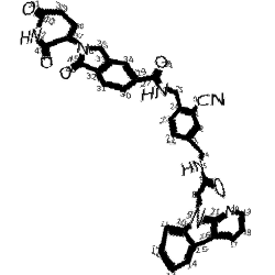 N#Cc1cc(CNC(=O)Cn2c3ccccc3c3cccnc32)ccc1CNC(=O)c1ccc2c(c1)CN(C1CCC(=O)NC1=O)C2=O